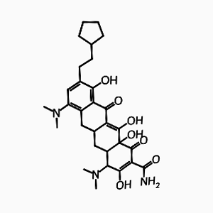 CN(C)c1cc(CCC2CCCC2)c(O)c2c1CC1CC3C(N(C)C)C(O)=C(C(N)=O)C(=O)C3(O)C(O)=C1C2=O